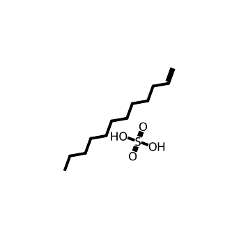 C=CCCCCCCCCCC.O=S(=O)(O)O